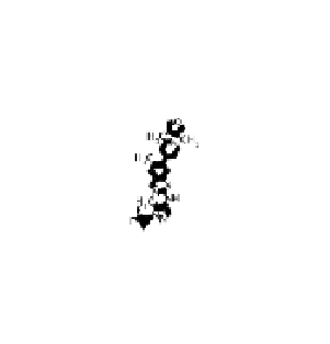 Cc1cc2cnc(Nc3cnn(C4CC4(F)F)c3C)nc2cc1C1CCN([C@@]2(C)COC[C@H]2C)CC1